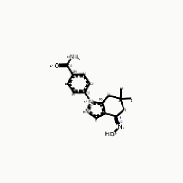 CC1(C)C/C(=N/O)c2cnn(-c3ccc(C(N)=O)cc3)c2C1